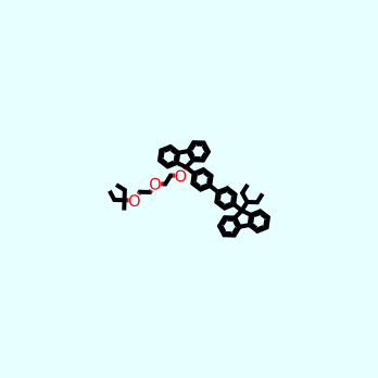 CCC(CC)C1(c2ccc(-c3ccc(C4(OCCOCCOC(C)(CC)CC)c5ccccc5-c5ccccc54)cc3)cc2)c2ccccc2-c2ccccc21